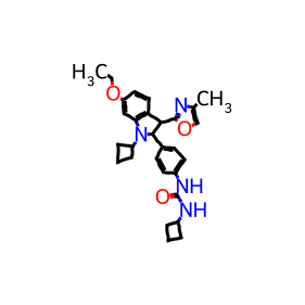 CCOc1ccc2c(c1)N(C1CCC1)C(c1ccc(NC(=O)NC3CCC3)cc1)C2c1nc(C)co1